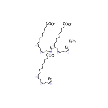 CC/C=C\C/C=C\C/C=C\CCCCCCCC(=O)[O-].CC/C=C\C/C=C\C/C=C\CCCCCCCC(=O)[O-].CC/C=C\C/C=C\C/C=C\CCCCCCCC(=O)[O-].[Bi+3]